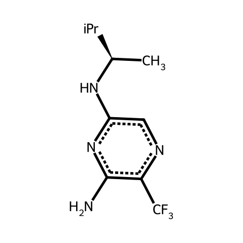 CC(C)[C@@H](C)Nc1cnc(C(F)(F)F)c(N)n1